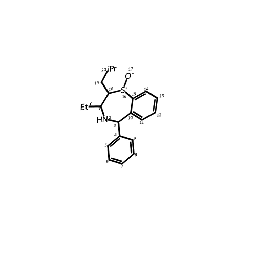 CCC1NC(c2ccccc2)c2ccccc2[S+]([O-])C1CC(C)C